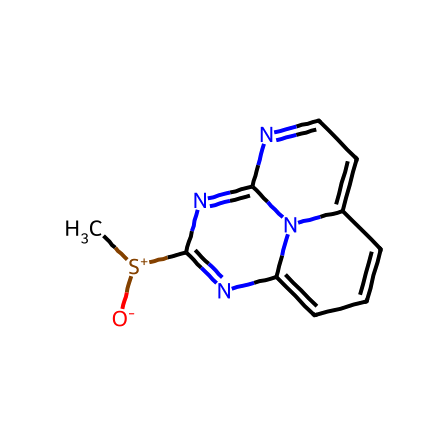 C[S+]([O-])C1=NC2=CC=CC3=CC=NC(=N1)N32